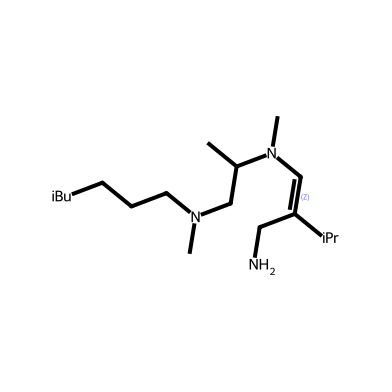 CCC(C)CCCN(C)CC(C)N(C)/C=C(\CN)C(C)C